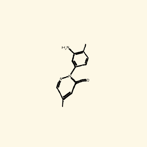 Cc1cnn(-c2ccc(C)c(N)c2)c(=O)c1